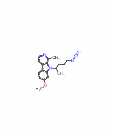 COc1ccc2c3ccnc(C)c3n(C(C)CCCN=[N+]=[N-])c2c1